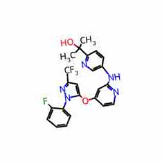 CC(C)(O)c1ccc(Nc2cc(Oc3cc(C(F)(F)F)nn3-c3ccccc3F)ccn2)cn1